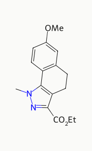 CCOC(=O)c1nn(C)c2c1CCc1cc(OC)ccc1-2